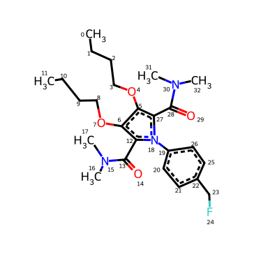 CCCCOc1c(OCCCC)c(C(=O)N(C)C)n(-c2ccc(CF)cc2)c1C(=O)N(C)C